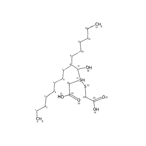 CCCCCCCCC(CCCCCC)C(O)[SH](CC(=O)O)SCC(=O)O